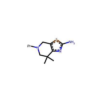 CC(C)N1Cc2sc(N)nc2C(C)(C)C1